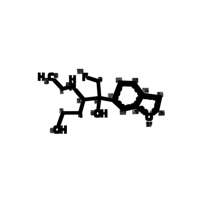 CCNC(CCO)C(O)(CF)c1ccc2ccoc2c1